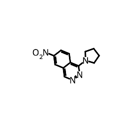 O=[N+]([O-])c1ccc2c(N3CCCC3)nncc2c1